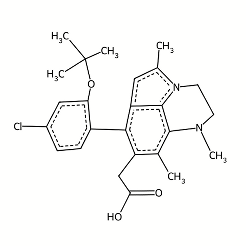 Cc1c(CC(=O)O)c(-c2ccc(Cl)cc2OC(C)(C)C)c2cc(C)n3c2c1N(C)CC3